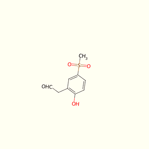 CS(=O)(=O)c1ccc(O)c(CC=O)c1